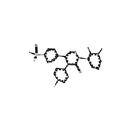 Cc1cccc(-n2ncc(-c3ccc(S(C)(=O)=O)cc3)c(-c3ccc(F)cc3)c2=O)c1C